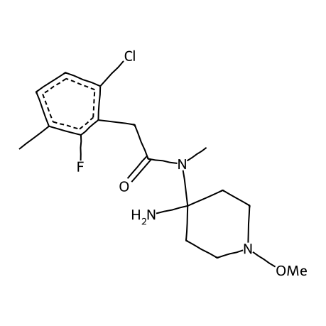 CON1CCC(N)(N(C)C(=O)Cc2c(Cl)ccc(C)c2F)CC1